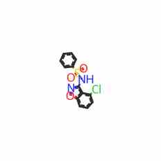 O=S(=O)(Nc1noc2cccc(Cl)c12)c1ccccc1